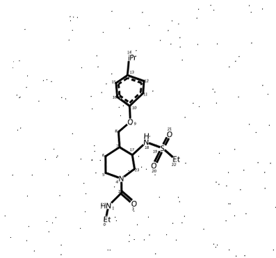 CCNC(=O)N1CCC(COc2ccc(C(C)C)cc2)C(NS(=O)(=O)CC)C1